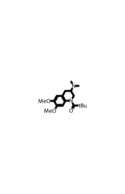 COc1cc2c(cc1OC)N(C(=O)C(C)(C)C)CC(N(C)C)C2